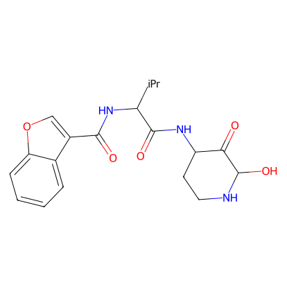 CC(C)C(NC(=O)c1coc2ccccc12)C(=O)NC1CCNC(O)C1=O